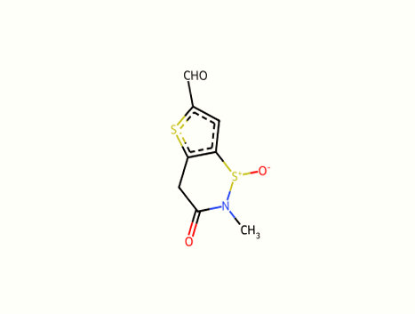 CN1C(=O)Cc2sc(C=O)cc2[S+]1[O-]